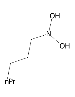 CCCCCCN(O)O